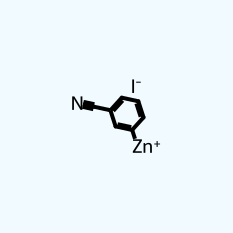 N#Cc1ccc[c]([Zn+])c1.[I-]